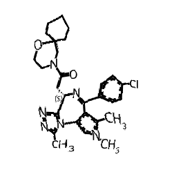 Cc1c2c(cn1C)-n1c(C)nnc1[C@H](CC(=O)N1CCOC3(CCCCC3)C1)N=C2c1ccc(Cl)cc1